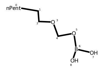 CCCCCCCOCOB(O)O